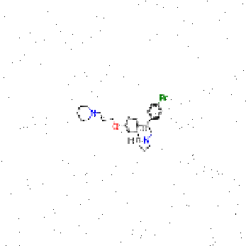 Brc1ccc([C@H]2CN3CCC[C@H]3c3cc(OCCCN4CCCCC4)ccc32)cc1